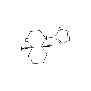 c1csc(N2CCO[C@H]3CCCC[C@H]32)c1